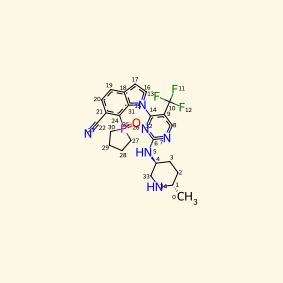 C[C@H]1CC[C@H](Nc2ncc(C(F)(F)F)c(-n3ccc4ccc(C#N)c(P5(=O)CCCC5)c43)n2)CN1